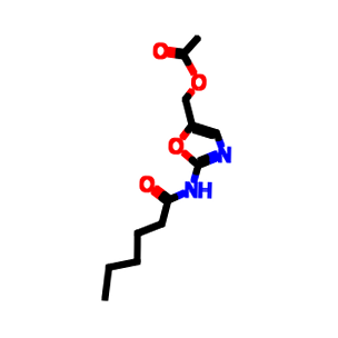 CCCCCC(=O)Nc1ncc(COC(C)=O)o1